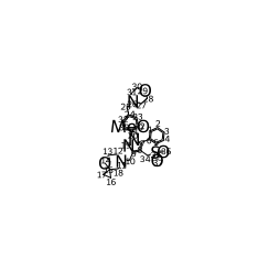 COc1cccc2c1-c1c(c(CN3CCOC4(CC4)C3)nn1-c1ccc(CN3CCOCC3)cc1)CS2(=O)=O